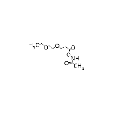 CCOCCOCCC(=O)ONC(C)=O